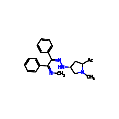 C/N=C(\C(=N/N[C@@H]1CC(C(C)=O)N(C)C1)c1ccccc1)c1ccccc1